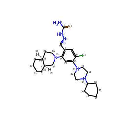 NC(=S)N/N=C/c1cc(F)c(N2CCN(C3CCCCC3)CC2)cc1N1CC[C@@H]2CCCC[C@@H]2C1